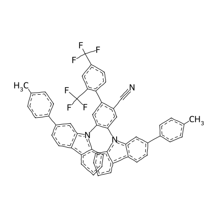 Cc1ccc(-c2ccc3c4ccccc4n(-c4cc(C#N)c(-c5ccc(C(F)(F)F)cc5C(F)(F)F)cc4-n4c5ccccc5c5ccc(-c6ccc(C)cc6)cc54)c3c2)cc1